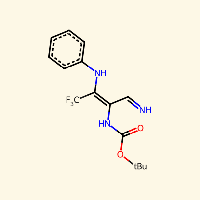 CC(C)(C)OC(=O)N/C(C=N)=C(/Nc1ccccc1)C(F)(F)F